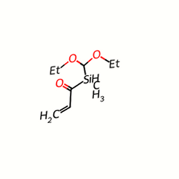 C=CC(=O)[SiH](C)C(OCC)OCC